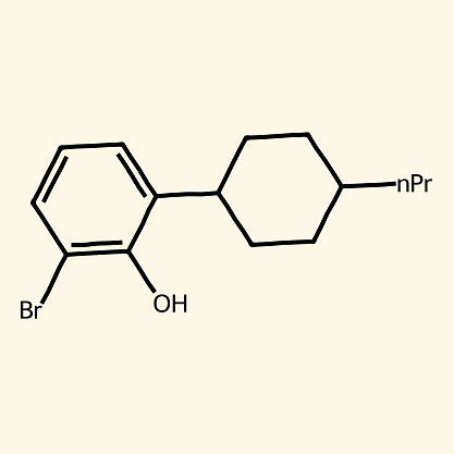 CCCC1CCC(c2cccc(Br)c2O)CC1